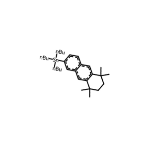 CCC[CH2][Sn]([CH2]CCC)([CH2]CCC)[c]1ccc2cc3c(cc2c1)C(C)(C)CCC3(C)C